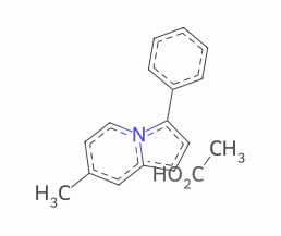 CC(=O)O.Cc1ccn2c(-c3ccccc3)ccc2c1